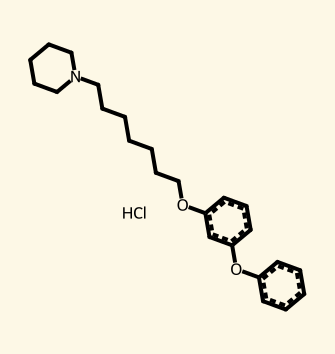 Cl.c1ccc(Oc2cccc(OCCCCCCCN3CCCCC3)c2)cc1